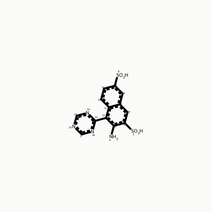 Nc1c(S(=O)(=O)O)cc2cc(S(=O)(=O)O)ccc2c1-c1ncncn1